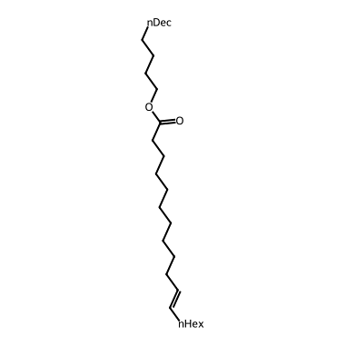 CCCCCC/C=C/CCCCCCCCCC(=O)OCCCCCCCCCCCCCC